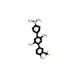 Cc1cc(-c2ccc(N)c(C(F)(F)F)c2)c(C)cc1-c1ccc(N(C)C)cc1